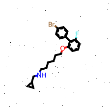 Fc1[c]ccc(OCCCCCCNCC2CC2)c1-c1ccc(Br)cc1